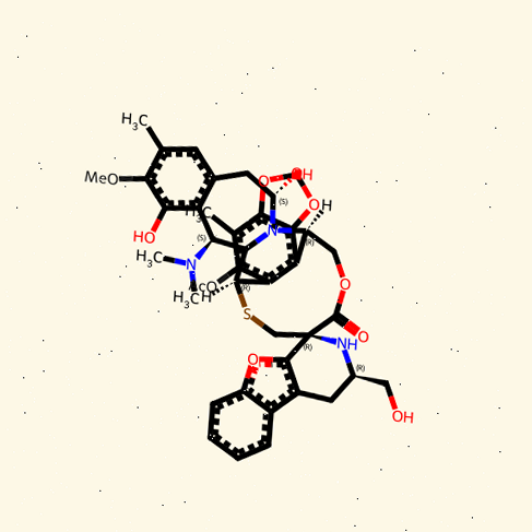 COc1c(C)cc2c(c1O)[C@H](N(C)C)C1[C@@H]3SC[C@]4(N[C@@H](CO)Cc5c4oc4ccccc54)C(=O)OC[C@@H](c4c5c(c(C)c(OC(C)=O)c43)OCO5)N1[C@@H](O)C2